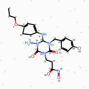 CCCOC1=CC=C(NC2N(N)C(=O)N(CCC(=O)N=O)C(=O)N2Cc2ccc(Cl)cc2)CC1